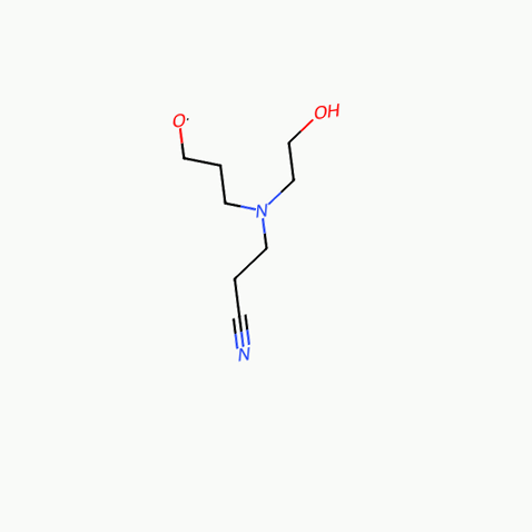 N#CCCN(CCO)CCC[O]